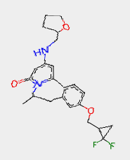 CC1Cc2cc(OCC3CC3(F)F)ccc2-c2cc(NCC3CCCO3)cc(=O)n21